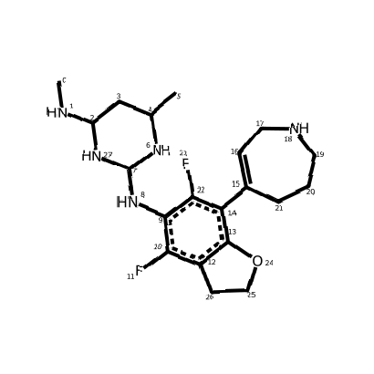 CNC1CC(C)NC(Nc2c(F)c3c(c(C4=CCNCCC4)c2F)OCC3)N1